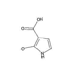 [O]c1[nH]ccc1C(=O)O